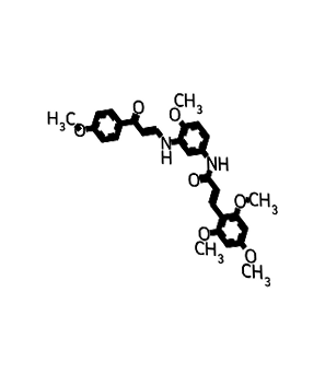 COc1ccc(C(=O)C=CNc2cc(NC(=O)C=Cc3c(OC)cc(OC)cc3OC)ccc2OC)cc1